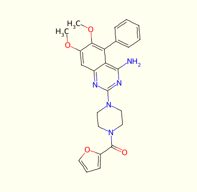 COc1cc2nc(N3CCN(C(=O)c4ccco4)CC3)nc(N)c2c(-c2ccccc2)c1OC